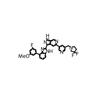 COc1cc(F)cc(-c2cccc3[nH]c(-c4n[nH]c5cnc(-c6cncc(CN7CCC(F)(F)C7)c6)cc45)nc23)c1